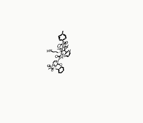 Cc1ccc(S(=O)(=O)NN(C)[C@](CCC=N)(NC(=O)CN2C=CN(S(C)(=O)=O)[C@@H](Cc3ccccc3)C2=O)C(=O)c2nccs2)cc1